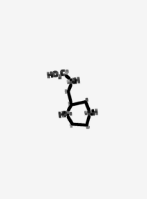 O=C(O)NCC1CNCCN1